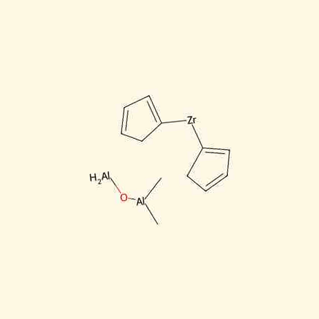 C1=CC[C]([Zr][C]2=CC=CC2)=C1.[CH3][Al]([CH3])[O][AlH2]